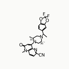 CC(c1ccc2c(c1)OC(F)(F)O2)N1C[C@H](C)N(c2cc(=O)n(C)c3ccc(C#N)nc23)C[C@H]1C